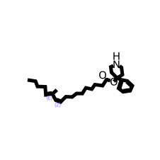 CCCC/C=C(C)/C=C\CCCCCCCCC(=O)OC1(c2ccccc2)CCNCC1